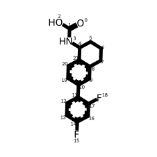 O=C(O)NC1CCCc2cc(-c3ccc(F)cc3F)ccc21